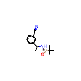 CC(N[S@+]([O-])C(C)(C)C)c1cccc(C#N)c1